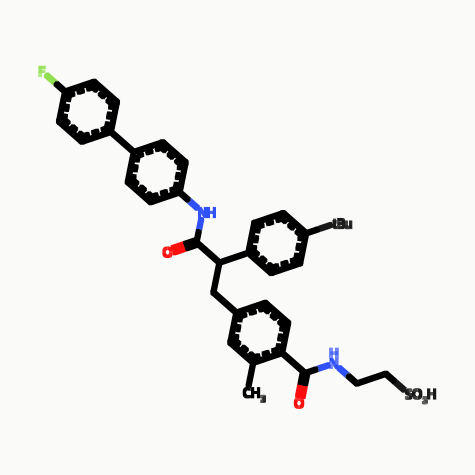 Cc1cc(CC(C(=O)Nc2ccc(-c3ccc(F)cc3)cc2)c2ccc(C(C)(C)C)cc2)ccc1C(=O)NCCS(=O)(=O)O